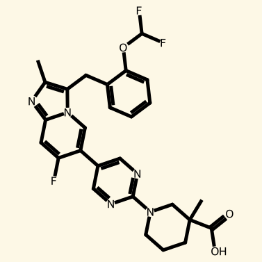 Cc1nc2cc(F)c(-c3cnc(N4CCCC(C)(C(=O)O)C4)nc3)cn2c1Cc1ccccc1OC(F)F